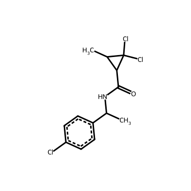 CC(NC(=O)C1C(C)C1(Cl)Cl)c1ccc(Cl)cc1